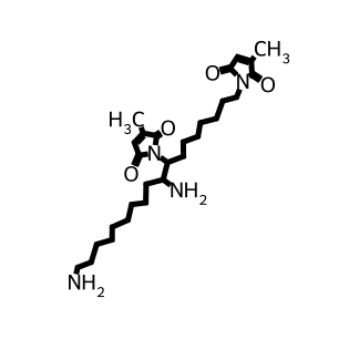 CC1=CC(=O)N(CCCCCCCC(C(N)CCCCCCCCCN)N2C(=O)C=C(C)C2=O)C1=O